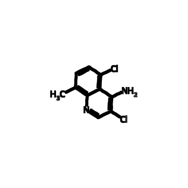 Cc1ccc(Cl)c2c(N)c(Cl)cnc12